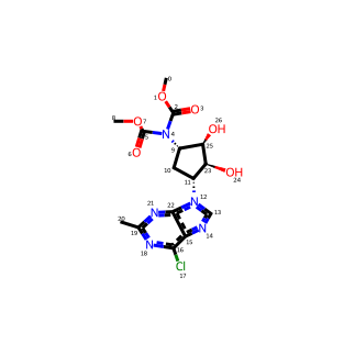 COC(=O)N(C(=O)OC)[C@H]1C[C@@H](n2cnc3c(Cl)nc(C)nc32)[C@H](O)[C@@H]1O